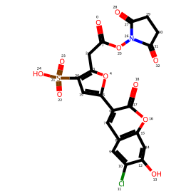 O=C(Cc1oc(-c2cc3cc(Cl)c(O)cc3oc2=O)cc1S(=O)(=O)O)ON1C(=O)CCC1=O